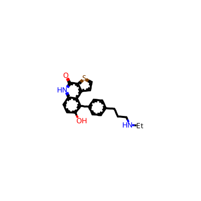 CCNCCCc1ccc(-c2c(O)ccc3[nH]c(=O)c4sccc4c23)cc1